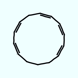 [C]1=CC=CCC=CC=CC=CCCC1